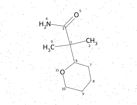 CC(C)(C(N)=O)C1CCCCO1